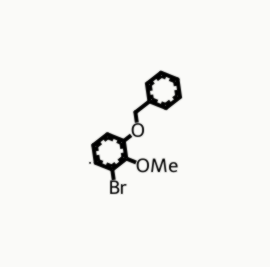 COc1c(Br)[c]ccc1OCc1ccccc1